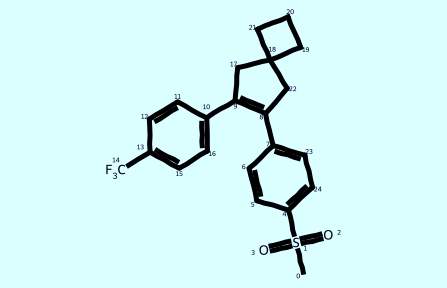 CS(=O)(=O)c1ccc(C2=C(c3ccc(C(F)(F)F)cc3)CC3(CCC3)C2)cc1